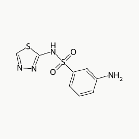 Nc1cccc(S(=O)(=O)Nc2nncs2)c1